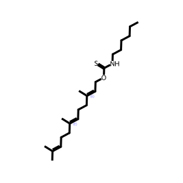 CCCCCCNC(=S)OC/C=C(\C)CC/C=C(\C)CCC=C(C)C